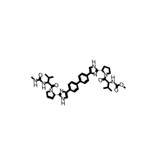 CNC(=O)NC(C(=O)N1CC=C[C@H]1c1nc(-c2ccc(-c3ccc(-c4c[nH]c([C@@H]5CCCN5C(=O)[C@@H](NC(=O)OC)C(C)C)n4)cc3)cc2)c[nH]1)C(C)C